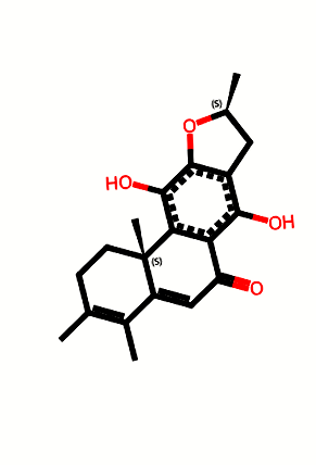 CC1=C(C)C2=CC(=O)c3c(O)c4c(c(O)c3[C@@]2(C)CC1)O[C@@H](C)C4